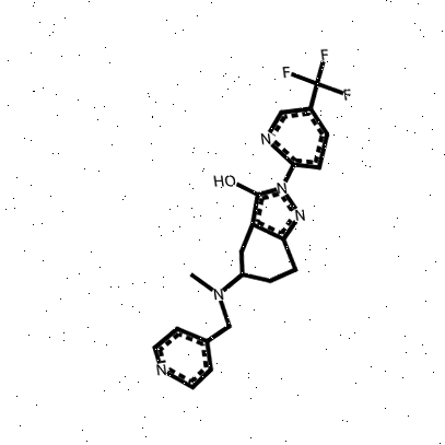 CN(Cc1ccncc1)C1CCc2nn(-c3ccc(C(F)(F)F)cn3)c(O)c2C1